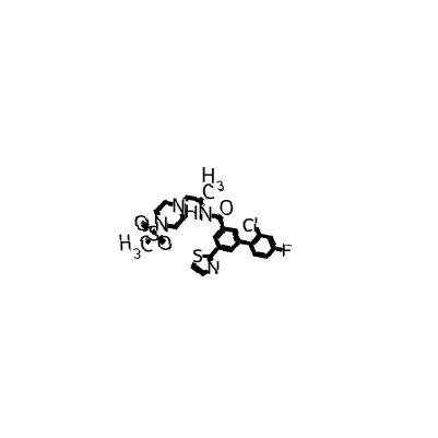 CC(CN1CCN(S(C)(=O)=O)CC1)NC(=O)c1cc(-c2nccs2)cc(-c2ccc(F)cc2Cl)c1